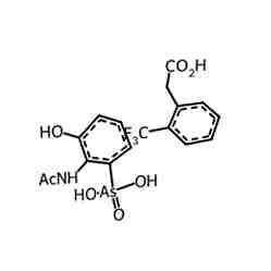 CC(=O)Nc1c(O)cccc1[As](=O)(O)O.O=C(O)Cc1ccccc1C(F)(F)F